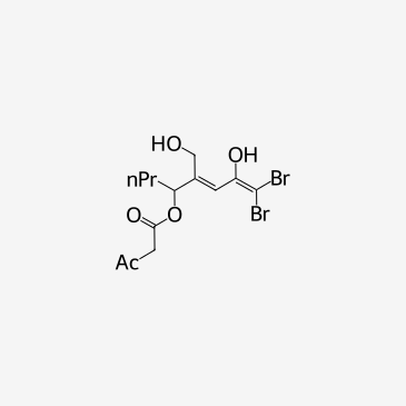 CCCC(OC(=O)CC(C)=O)/C(=C/C(O)=C(Br)Br)CO